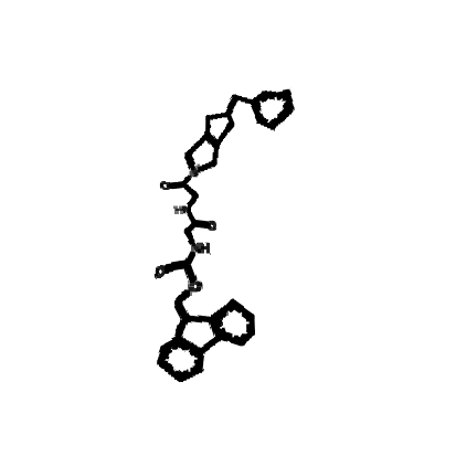 O=C(CNC(=O)OCC1c2ccccc2-c2ccccc21)NCC(=O)N1CC2CC(Cc3ccccc3)CC2C1